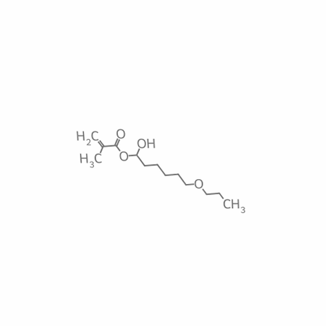 C=C(C)C(=O)OC(O)CCCCCOCCC